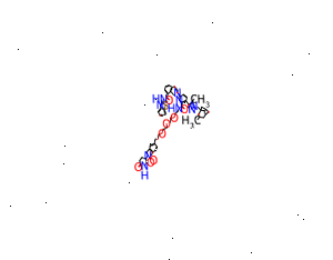 Cc1c(-c2ccc(N3CCc4cccc(C(=O)Nc5nc6ccccc6s5)c4C3)nc2C(=O)NCCOCCOCCOCCCc2ccc3c(c2)CN(C2CCC(=O)NC2=O)C3=O)cnn1CC12CC(C)CC3CC(C1)C32